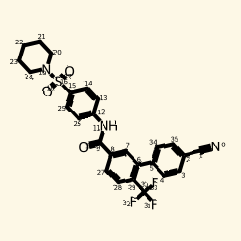 N#Cc1ccc(-c2cc(C(=O)Nc3ccc(S(=O)(=O)N4CCCCC4)cc3)ccc2C(F)(F)F)cc1